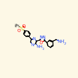 CC(C)S(=O)(=O)c1ccc(-c2cnc(N)c(-c3nnc(-c4cccc(CN)c4)o3)n2)cc1